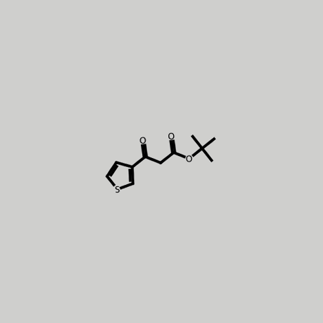 CC(C)(C)OC(=O)CC(=O)c1ccsc1